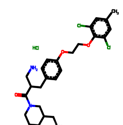 COCC1CCCN(C(=O)C(CN)Cc2ccc(OCCOc3c(Cl)cc(C)cc3Cl)cc2)C1.Cl